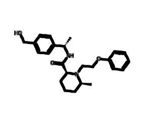 C[C@H](NC(=O)[C@@H]1CCC[C@H](C)N1CCOc1ccccc1)c1ccc(CO)cc1